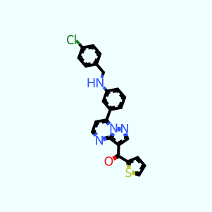 O=C(c1cccs1)c1cnn2c(-c3cccc(NCc4ccc(Cl)cc4)c3)ccnc12